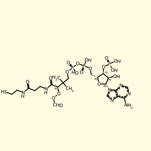 CC(C)(COP(=O)(O)OP(=O)(O)OC[C@H]1O[C@@H](n2cnc3c(N)ncnc32)[C@H](O)[C@@H]1OP(=O)(O)O)[C@@H](OOC=O)C(=O)NCCC(=O)NCCS